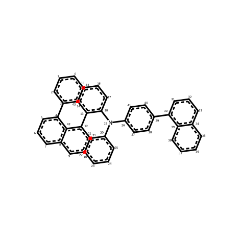 c1ccc(-c2cccc3cccc(-c4ccccc4N(c4ccccc4)c4ccc(-c5cccc6ccccc56)cc4)c23)cc1